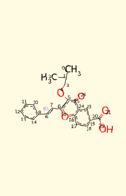 CC(C)COc1c(/C=C/c2ccccc2)oc2ccc(C(=O)O)cc2c1=O